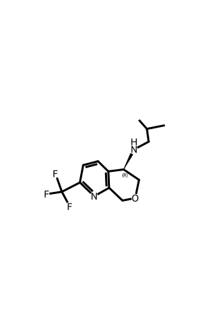 CC(C)CN[C@H]1COCc2nc(C(F)(F)F)ccc21